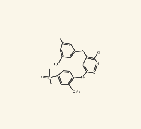 COc1cc(P(C)(C)=O)ccc1Nc1nnc(Cl)c(Sc2cc(F)cc(C(F)(F)F)c2)n1